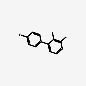 Cc1cccc(-c2ccc(F)cc2)c1C